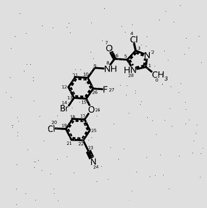 Cc1nc(Cl)c(C(=O)NCc2ccc(Br)c(Oc3cc(Cl)cc(C#N)c3)c2F)[nH]1